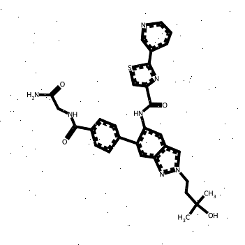 CC(C)(O)CCn1cc2cc(NC(=O)c3csc(-c4cccnc4)n3)c(-c3ccc(C(=O)NCC(N)=O)cc3)cc2n1